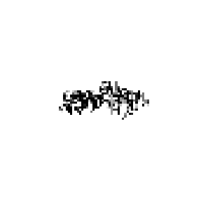 COc1cc2c(cc1-c1cnn(C3CC3)c1)-c1c(c(C(=O)N3CCOCC3(C)Cc3cc(-c4cc5c(cc4OC)OCc4c(C(=O)N6CCN(C(C)=O)CC6(C)C)nn(-c6ccsc6)c4-5)nn3C)nn1-c1ccsc1)CO2